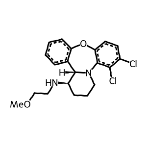 COCCN[C@@H]1CCCN2c3c(ccc(Cl)c3Cl)Oc3ccccc3[C@@H]12